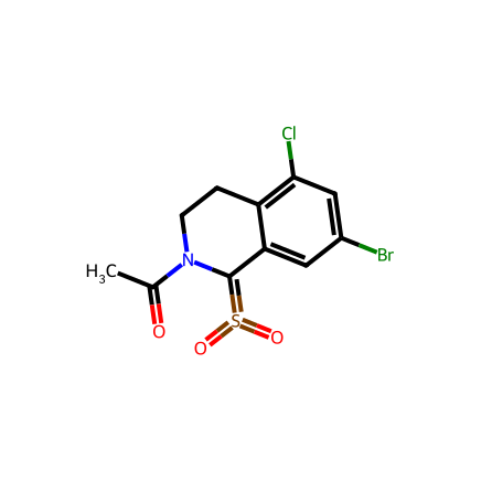 CC(=O)N1CCc2c(Cl)cc(Br)cc2C1=S(=O)=O